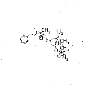 C[Si](C)(C)CC(CCO[Si](C)(C)C)CC[Si](C)(C)OCCc1ccccc1